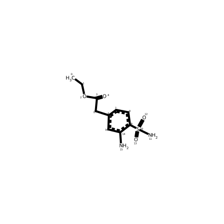 CCOC(=O)Cc1ccc(S(N)(=O)=O)c(N)c1